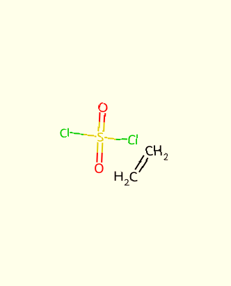 C=C.O=S(=O)(Cl)Cl